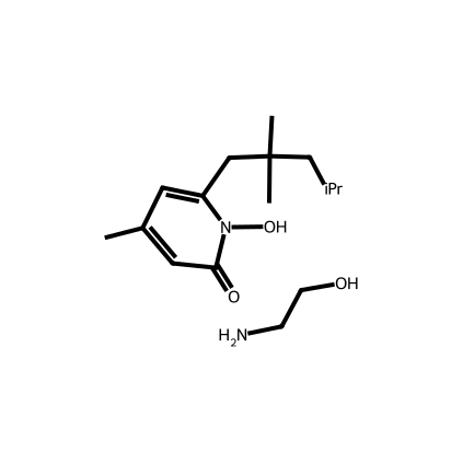 Cc1cc(CC(C)(C)CC(C)C)n(O)c(=O)c1.NCCO